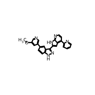 COc1cncc(-c2ccc3[nH]nc(-c4cc5c(-c6ccccn6)ccnc5[nH]4)c3c2)c1